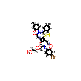 Cc1ccc2c(c1)oc(/C=C1/C(=O)C(/C=C3/Oc4cc(Br)ccc4N3CCOCCO)=C1S)[n+]2Cc1ccccc1